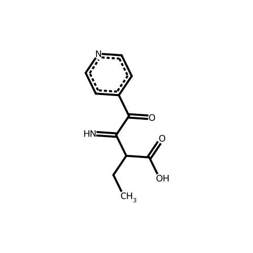 CCC(C(=N)C(=O)c1ccncc1)C(=O)O